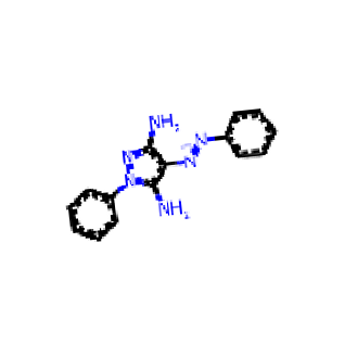 Nc1nn(-c2ccccc2)c(N)c1/N=N/c1ccccc1